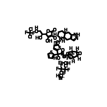 CCCN1CCC[C@@H]2Cc3[nH]ncc3C[C@H]21.CCO.C[N+]1(C)[C@@H]2C[C@@H](OC(=O)C(O)(c3cccs3)c3cccs3)C[C@H]1[C@@H]1O[C@@H]12.Cl.FC(F)(Cl)C(F)(F)Cl.FC(F)(Cl)Cl.O=C1O[C@H]([C@@H](O)CO)C(O)=C1O.[Br-]